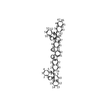 Cc1ccccc1N(c1ccc2ccccc2c1)c1ccc2cc3c(cc2c1)oc1c3ccc2c3cc4ccc(N(c5ccc6ccccc6c5)c5ccccc5C)cc4cc3oc21